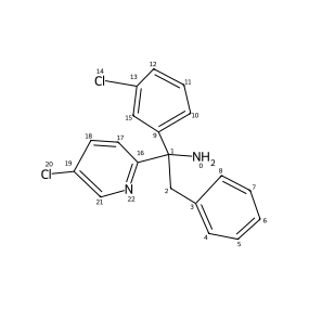 NC(Cc1ccccc1)(c1cccc(Cl)c1)c1ccc(Cl)cn1